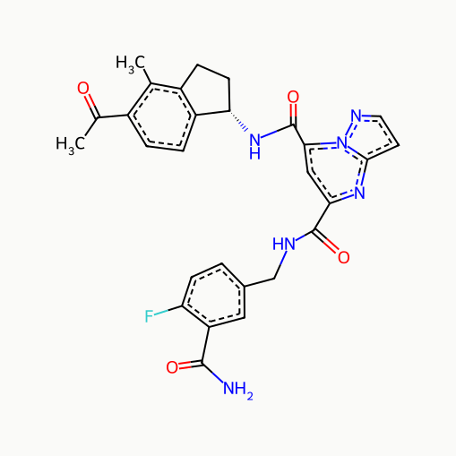 CC(=O)c1ccc2c(c1C)CC[C@@H]2NC(=O)c1cc(C(=O)NCc2ccc(F)c(C(N)=O)c2)nc2ccnn12